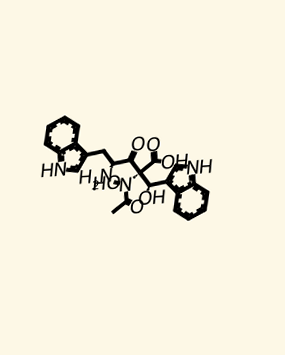 CC(=O)N(O)[C@@](C(=O)O)(C(=O)[C@@H](N)Cc1c[nH]c2ccccc12)[C@@H](O)c1c[nH]c2ccccc12